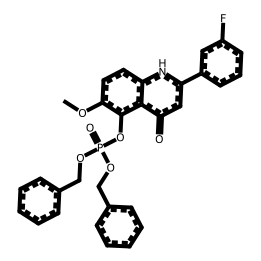 COc1ccc2[nH]c(-c3cccc(F)c3)cc(=O)c2c1OP(=O)(OCc1ccccc1)OCc1ccccc1